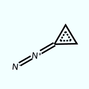 [N-]=[N+]=c1cc1